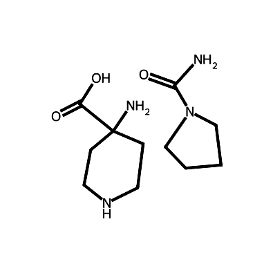 NC(=O)N1CCCC1.NC1(C(=O)O)CCNCC1